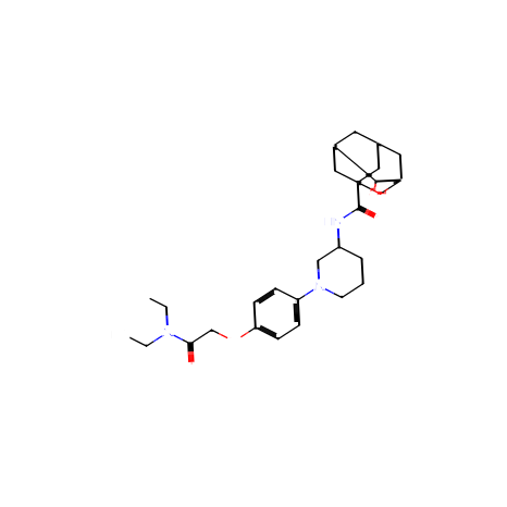 CCN(CC)C(=O)COc1ccc(N2CCCC(NC(=O)C34CC5CC(C3)C(O)C(C5)C4)C2)cc1